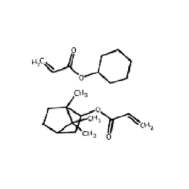 C=CC(=O)OC1CC2CCC1(C)C2(C)C.C=CC(=O)OC1CCCCC1